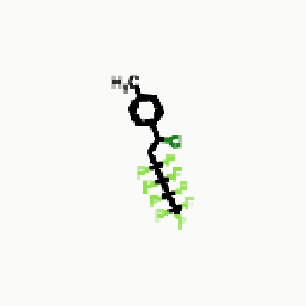 Cc1ccc(C(Cl)CC(F)(F)C(F)(F)C(F)(F)C(F)(F)F)cc1